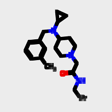 Cc1cccc(CN(C2CC2)C2CCN(CC(=O)NCC(C)C)CC2)c1